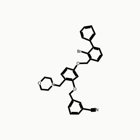 N#Cc1cccc(COc2cc(OCc3cccc(-c4ccccc4)c3Br)ccc2CN2CCOCC2)c1